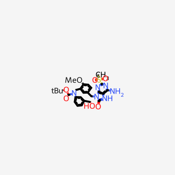 COc1ccc(Cn2c(=O)[nH]c3c(N)nc(S(C)(=O)=O)nc32)cc1CN(C(=O)OC(C)(C)C)c1cccc(CO)c1